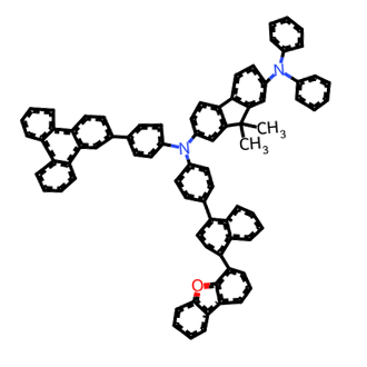 CC1(C)c2cc(N(c3ccccc3)c3ccccc3)ccc2-c2ccc(N(c3ccc(-c4ccc5c6ccccc6c6ccccc6c5c4)cc3)c3ccc(-c4ccc(-c5cccc6c5oc5ccccc56)c5ccccc45)cc3)cc21